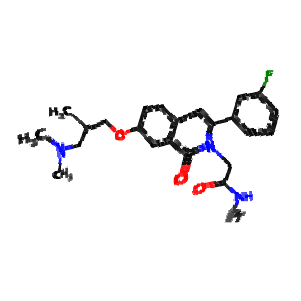 CC(COc1ccc2cc(-c3cccc(F)c3)n(CC(=O)NC(C)C)c(=O)c2c1)CN(C)C